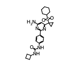 Nc1cc(C2(S(=O)(=O)C3CCCCC3)CC2)nc(-c2ccc(NC(=O)NC3CCC3)cc2)n1